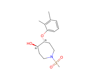 Cc1cccc(O[C@@H]2CCN(S(C)(=O)=O)CC[C@H]2O)c1C